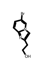 OCCc1cn2cc(Br)ccc2n1